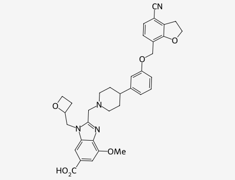 COc1cc(C(=O)O)cc2c1nc(CN1CCC(c3cccc(OCc4ccc(C#N)c5c4OCC5)c3)CC1)n2CC1CCO1